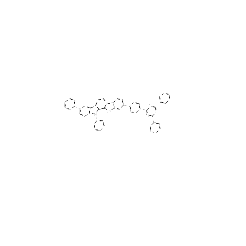 c1ccc(-c2ccc3c(c2)c2ccc4c5ccc(-c6ccc(-c7nc(-c8ccccc8)nc(-c8ccccc8)n7)cc6)cc5oc4c2n3-c2ccccc2)cc1